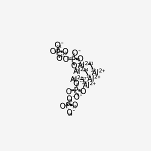 O=P([O-])([O-])[O-].O=P([O-])([O-])[O-].O=P([O-])([O-])[O-].O=P([O-])([O-])[O-].[Al+2][CH2][Al+2].[Al+2][CH2][Al+2].[Al+2][CH2][Al+2]